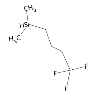 C[SiH](C)CCCC(F)(F)F